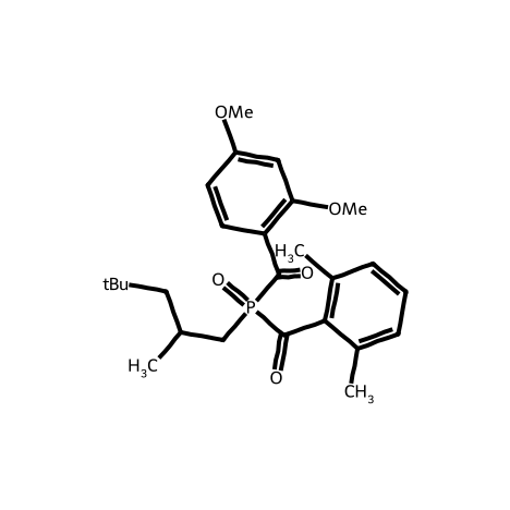 COc1ccc(C(=O)P(=O)(CC(C)CC(C)(C)C)C(=O)c2c(C)cccc2C)c(OC)c1